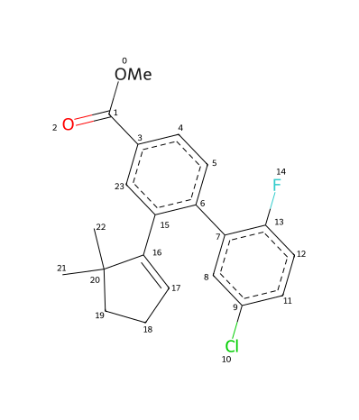 COC(=O)c1ccc(-c2cc(Cl)ccc2F)c(C2=CCCC2(C)C)c1